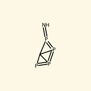 N=P1=P2=P3=PC132